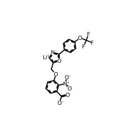 O=C([O-])c1cccc(OCc2cnc(-c3ccc(OC(F)(F)F)cc3)o2)c1[N+](=O)[O-].[Li+]